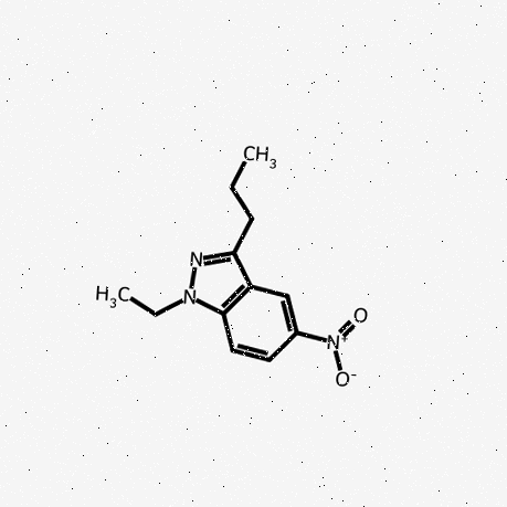 CCCc1nn(CC)c2ccc([N+](=O)[O-])cc12